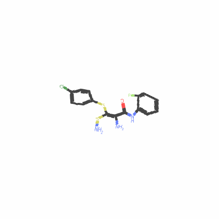 NS/C(Sc1ccc(Cl)cc1)=C(\N)C(=O)Nc1ccccc1F